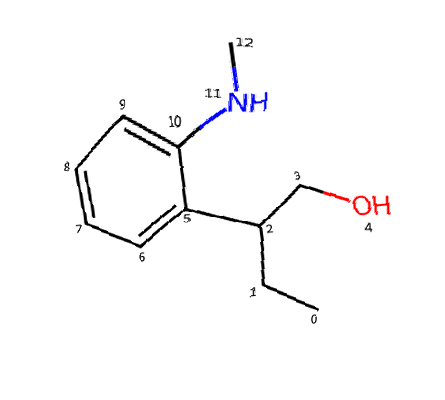 CCC(CO)c1ccccc1NC